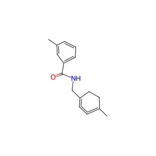 CC1=C=C=C(CNC(=O)c2cccc(C)c2)CC1